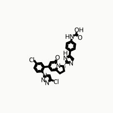 O=C(O)Nc1ccc(-c2cnc([C@@H]3CCc4cc(-c5cc(Cl)ccc5-n5cc(Cl)nn5)cc(=O)n43)[nH]2)cc1